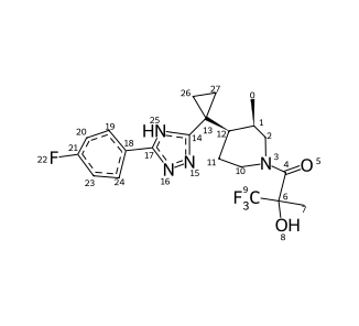 C[C@H]1CN(C(=O)C(C)(O)C(F)(F)F)CC[C@H]1C1(c2nnc(-c3ccc(F)cc3)[nH]2)CC1